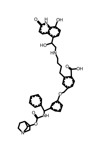 O=C(NC(c1ccccc1)c1cccc(OCc2ccc(C(=O)O)c(CCCCNCC(O)c3ccc(O)c4[nH]c(=O)ccc34)c2)c1)OC1CN2CCC1CC2